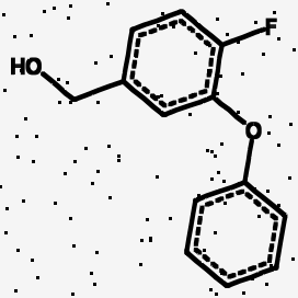 OCc1ccc(F)c(Oc2ccccc2)c1